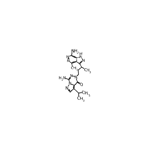 Cc1nnc(N)c2[nH]nc(C(C)CCn3nc(N)n4ncc(C(C)C)c4c3=O)c12